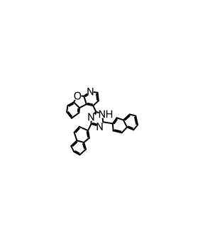 c1ccc2cc(C3=NC(c4ccc5ccccc5c4)NC(c4ccnc5oc6ccccc6c45)=N3)ccc2c1